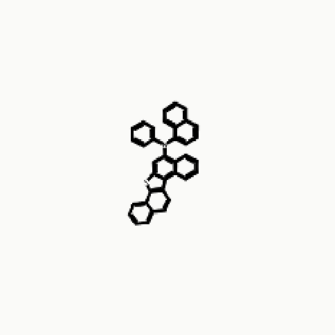 c1ccc(N(c2cccc3ccccc23)c2cc3sc4c5ccccc5ccc4c3c3ccccc23)cc1